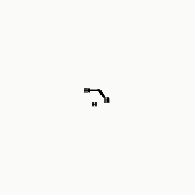 CCCCC.I